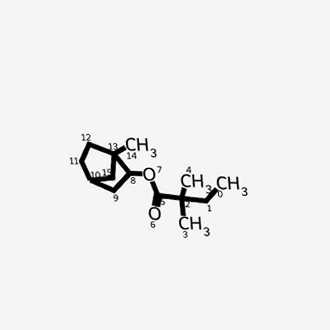 CCC(C)(C)C(=O)OC1CC2CCC1(C)C2